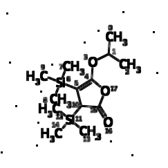 CC(C)OC1=C([Si](C)(C)C)C([Si](C)(C)C)C(=O)O1